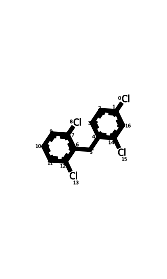 Clc1ccc([CH]c2c(Cl)cccc2Cl)c(Cl)c1